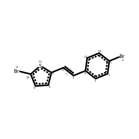 Brc1ccc(/C=C/c2ccc(Br)s2)cc1